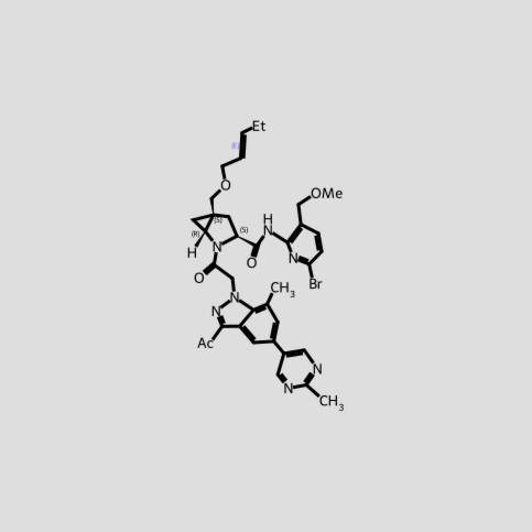 CC/C=C/COC[C@@]12C[C@@H](C(=O)Nc3nc(Br)ccc3COC)N(C(=O)Cn3nc(C(C)=O)c4cc(-c5cnc(C)nc5)cc(C)c43)[C@@H]1C2